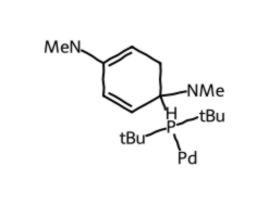 CNC1=CCC(NC)([PH]([Pd])(C(C)(C)C)C(C)(C)C)C=C1